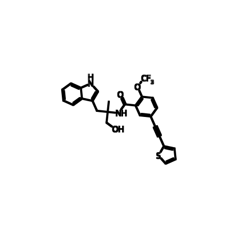 CC(CO)(Cc1c[nH]c2ccccc12)NC(=O)c1cc(C#Cc2cccs2)ccc1OC(F)(F)F